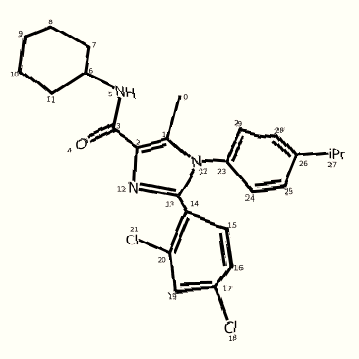 Cc1c(C(=O)NC2CCCCC2)nc(-c2ccc(Cl)cc2Cl)n1-c1ccc(C(C)C)cc1